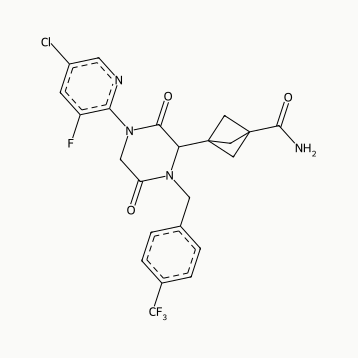 NC(=O)C12CC(C3C(=O)N(c4ncc(Cl)cc4F)CC(=O)N3Cc3ccc(C(F)(F)F)cc3)(C1)C2